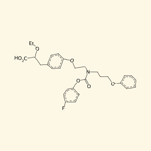 CCOC(Cc1ccc(OCCN(CCCOc2ccccc2)C(=O)Oc2ccc(F)cc2)cc1)C(=O)O